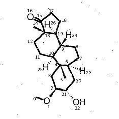 CO[C@H]1C[C@@]2(C)[C@@H](CC[C@@H]3[C@@H]2CC[C@]2(C)C(=O)CC[C@@H]32)C[C@@H]1O